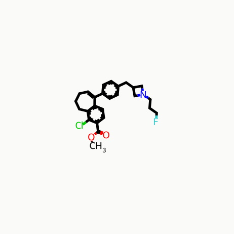 COC(=O)c1ccc2c(c1Cl)CCCC=C2c1ccc(CC2CN(CCCF)C2)cc1